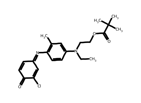 CCN(CCOC(=O)C(C)(C)C)c1ccc(N=C2C=CC(=O)C(Cl)=C2)c(C)c1